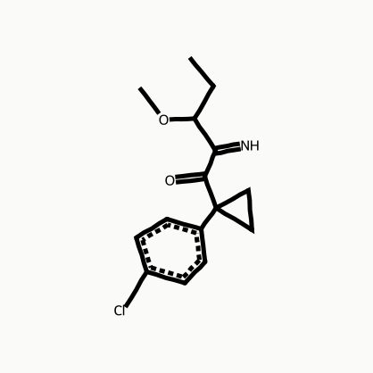 CCC(OC)C(=N)C(=O)C1(c2ccc(Cl)cc2)CC1